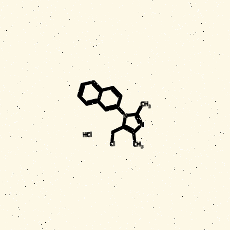 Cc1nc(C)n(-c2ccc3ccccc3c2)c1CCl.Cl